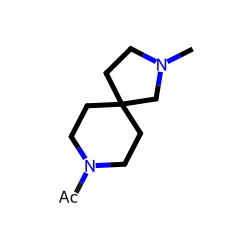 CC(=O)N1CCC2(CCN(C)C2)CC1